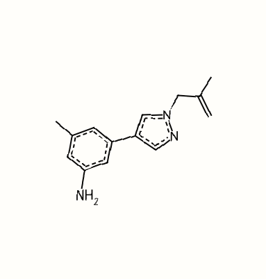 C=C(C)Cn1cc(-c2cc(C)cc(N)c2)cn1